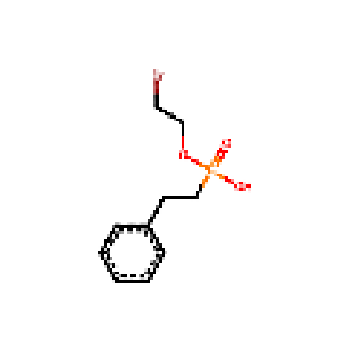 O=P(O)(CCc1ccccc1)OCCBr